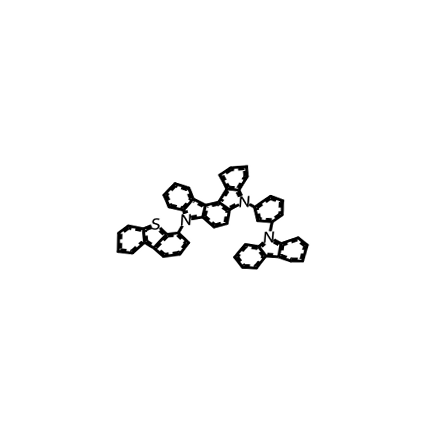 c1cc(-n2c3ccccc3c3ccccc32)cc(-n2c3ccccc3c3c4c5ccccc5n(-c5cccc6c5sc5ccccc56)c4ccc32)c1